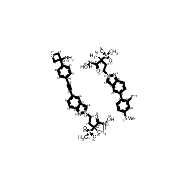 CSc1ccc(-c2ccc3nn(CC[C@](C)(C(=O)NO)S(C)(=O)=O)cc3c2)c(F)c1.C[C@@](CCn1cc2cc(C#Cc3ccc(C4(N)COC4)cc3)ccc2n1)(C(=O)NO)S(C)(=O)=O